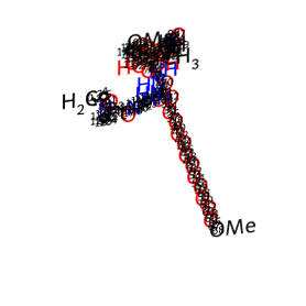 C=Cc1ccccc1CN(C(=O)CCCCC(=O)N1CCC2(CCC(C(=O)N[C@@H](CNC(=O)CCOCCOCCOCCOCCOCCOCCOCCOCCOCCOCCOCCOC)C(=O)NCCNC(=O)[C@]3(O)Cc4c(O)c5c(c(O)c4[C@@H](O[C@H]4C[C@H]6[C@H](O[C@@H]7COCCN76)[C@H](C)O4)C3)C(=O)c3c(OC)cccc3C5=O)CC2)CC1)c1ccccc1CC